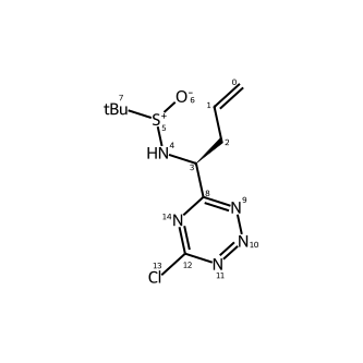 C=CC[C@H](N[S+]([O-])C(C)(C)C)c1nnnc(Cl)n1